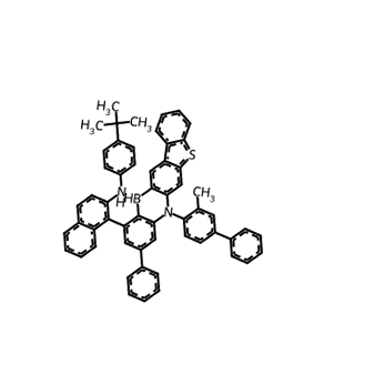 Cc1cc(-c2ccccc2)ccc1N1c2cc3sc4ccccc4c3cc2Bc2c(-c3c(Nc4ccc(C(C)(C)C)cc4)ccc4ccccc34)cc(-c3ccccc3)cc21